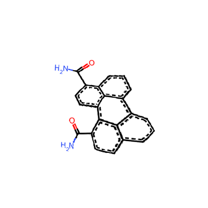 NC(=O)c1ccc2c3c(C(N)=O)ccc4cccc(c5cccc1c52)c43